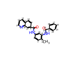 Cc1ccc(NC(=O)c2ccc3cccnc3c2)cc1NC(=O)c1ccccc1